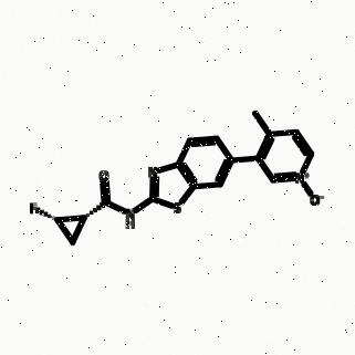 Cc1cc[n+]([O-])cc1-c1ccc2nc(NC(=O)[C@@H]3C[C@@H]3F)sc2c1